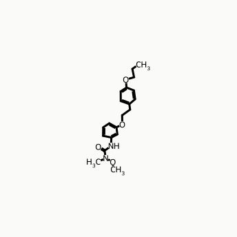 CCCOc1ccc(CCOc2cccc(NC(=O)N(C)OC)c2)cc1